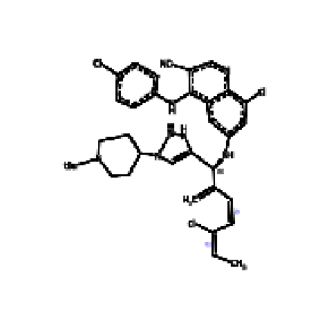 C=C(/C=C\C(Cl)=C/C)[C@H](Nc1cc(Cl)c2ncc(C#N)c(Nc3ccc(Cl)cc3)c2c1)C1=CN(C2CCN(C(C)(C)C)CC2)NN1